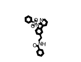 O=C(NCCc1ccc2c(c1)c1cccnc1n2S(=O)(=O)c1ccccc1)c1ccccc1